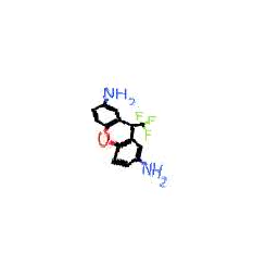 Nc1ccc2c(c1)C(C(F)(F)F)c1cc(N)ccc1O2